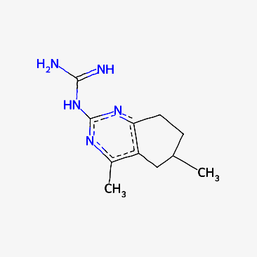 Cc1nc(NC(=N)N)nc2c1CC(C)CC2